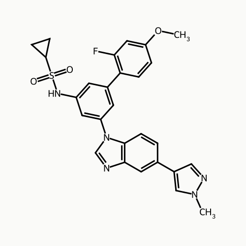 COc1ccc(-c2cc(NS(=O)(=O)C3CC3)cc(-n3cnc4cc(-c5cnn(C)c5)ccc43)c2)c(F)c1